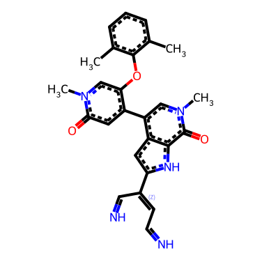 Cc1cccc(C)c1Oc1cn(C)c(=O)cc1-c1cn(C)c(=O)c2[nH]c(/C(C=N)=C/C=N)cc12